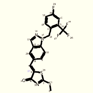 CSC1=NC(=O)/C(=C/c2ccc3c(cnn3Cc3ccc(F)cc3C(F)(F)F)c2)S1